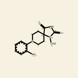 Nc1ccccc1N1CCC2(CC1)C(=O)NC(=O)N2C=O